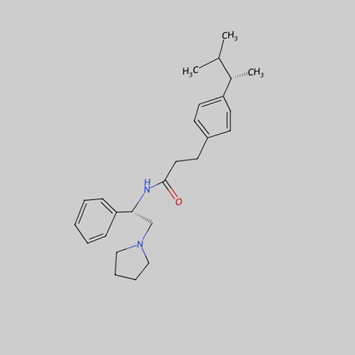 CC(C)[C@H](C)c1ccc(CCC(=O)N[C@H](CN2CCCC2)c2ccccc2)cc1